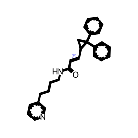 O=C(/C=C/C1CC1(c1ccccc1)c1ccccc1)NCCCCc1cccnc1